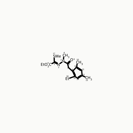 CCOC(=O)C(=NN(C)C(=O)Cc1c(C)cc(C)cc1CC)SC